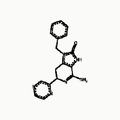 NC1=NC(c2cnccn2)Cc2c1[nH]c(=O)n2Cc1ccccc1